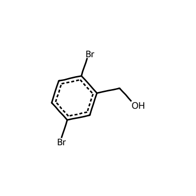 OCc1cc(Br)ccc1Br